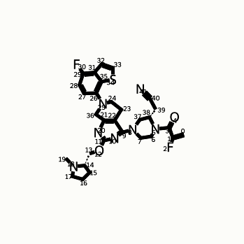 C=C(F)C(=O)N1CCN(c2nc(OC[C@@H]3CCCN3C)nc3c2CCN(c2ccc(F)c4ccsc24)C3)C[C@@H]1CC#N